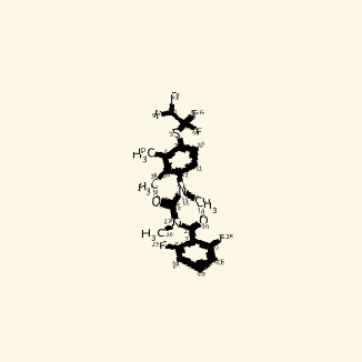 Cc1c(SC(F)(F)C(F)F)ccc(N(C)C(=O)N(C)C(=O)c2c(F)cccc2F)c1C